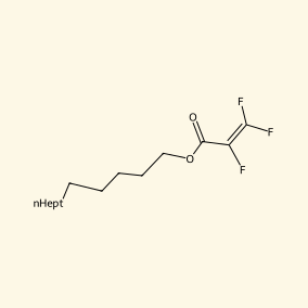 CCCCCCCCCCCCOC(=O)C(F)=C(F)F